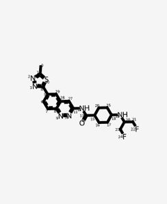 Cc1nnc(-c2ccc3nnc(NC(=O)C4CCC(NC(CF)CF)CC4)cc3c2)s1